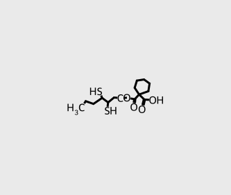 CCCC(S)C(S)CCOC(=O)C1(C(=O)O)CCCCC1